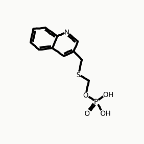 O=P(O)(O)OCSCc1cnc2ccccc2c1